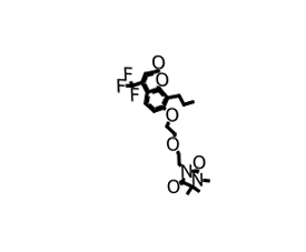 CCCc1c(OCCOCCN2C(=O)N(C)C(C)(C)C2=O)ccc2c(C(F)(F)F)cc(=O)oc12